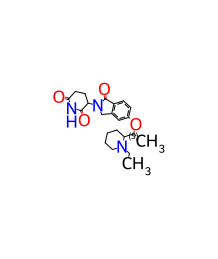 CCN1CCCCC1[C@H](C)Oc1ccc2c(c1)CN(C1CCC(=O)NC1=O)C2=O